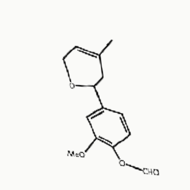 COc1cc(C2CC(C)=CCO2)ccc1OC=O